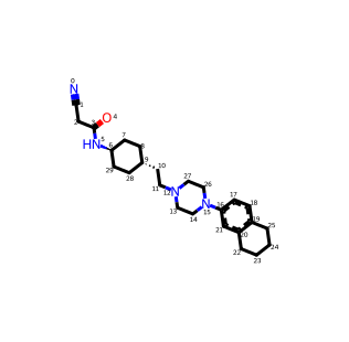 N#CCC(=O)N[C@H]1CC[C@H](CCN2CCN(c3ccc4c(c3)CCCC4)CC2)CC1